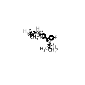 CN(CCNS(=O)(=O)c1ccc(-c2cn(C(=O)OC(C)(C)C)c3cc(F)ccc23)cn1)S(C)(=O)=O